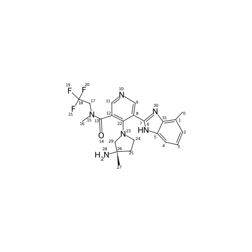 Cc1cccc2[nH]c(-c3cncc(C(=O)N(C)CC(F)(F)F)c3N3CC[C@](C)(N)C3)nc12